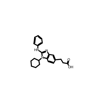 O=C(O)CCc1ccc2c(c1)nc(Nc1ccccc1)n2C1CCCCC1